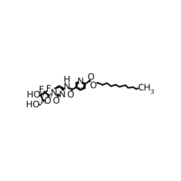 CCCCCCCCCCCOC(=O)c1ccc(C(=O)Nc2ccn([C@@H]3O[C@H](CO)[C@@H](O)C3(F)F)c(=O)n2)cn1